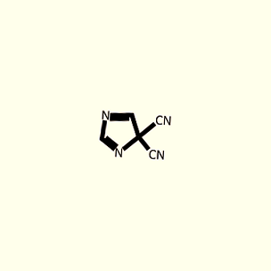 N#CC1(C#N)C=NC=N1